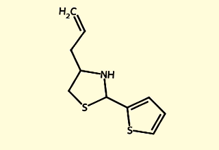 C=CCC1CSC(c2cccs2)N1